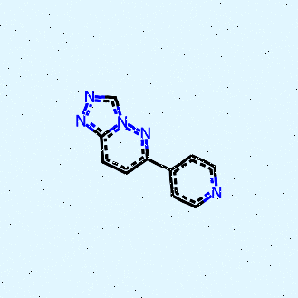 c1cc(-c2ccc3nncn3n2)ccn1